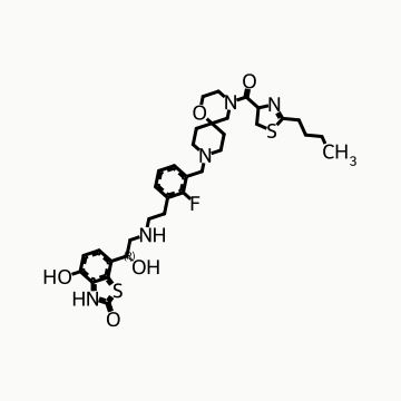 CCCCC1=NC(C(=O)N2CCOC3(CCN(Cc4cccc(CCNC[C@H](O)c5ccc(O)c6[nH]c(=O)sc56)c4F)CC3)C2)CS1